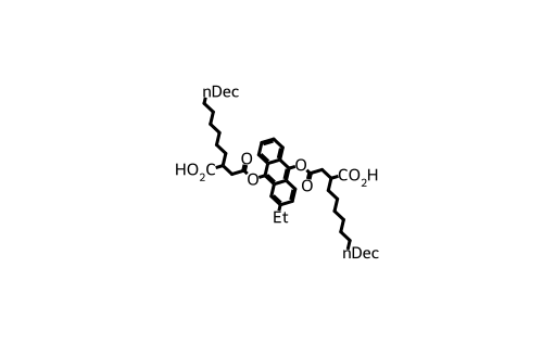 CCCCCCCCCCCCCCCCC(CC(=O)Oc1c2ccccc2c(OC(=O)CC(CCCCCCCCCCCCCCCC)C(=O)O)c2cc(CC)ccc12)C(=O)O